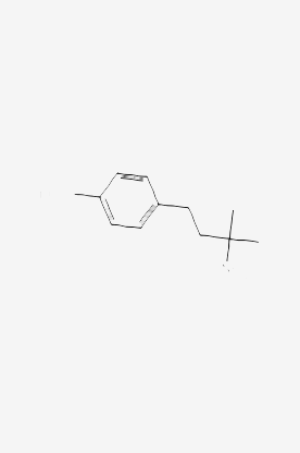 CCCCCCCCc1ccc(CCC(C)(C)[N+](=O)[O-])cc1